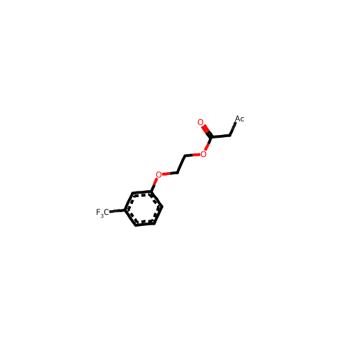 CC(=O)CC(=O)OCCOc1cccc(C(F)(F)F)c1